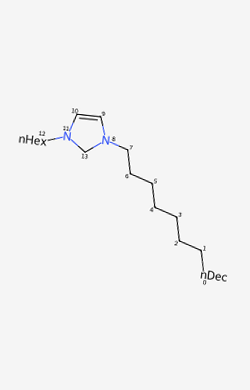 CCCCCCCCCCCCCCCCCN1C=CN(CCCCCC)C1